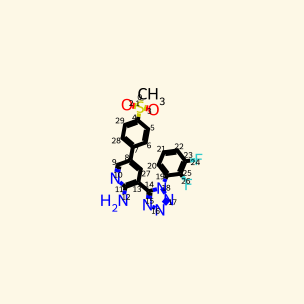 CS(=O)(=O)c1ccc(-c2cnc(N)c(-c3nnnn3-c3cccc(F)c3F)c2)cc1